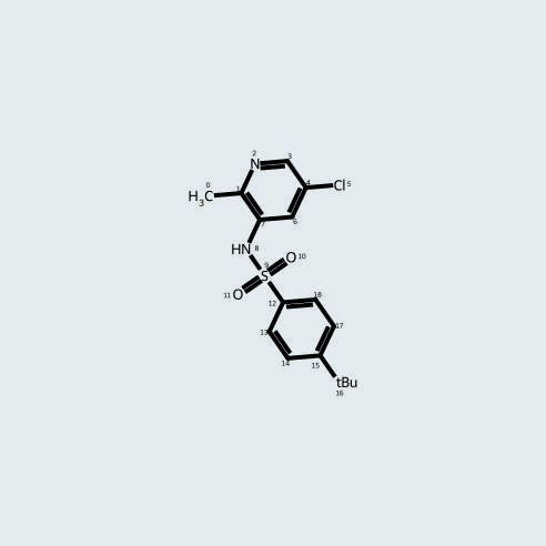 Cc1ncc(Cl)cc1NS(=O)(=O)c1ccc(C(C)(C)C)cc1